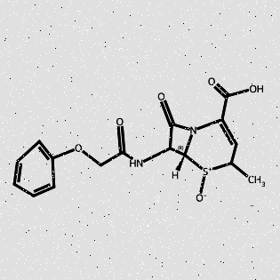 CC1C=C(C(=O)O)N2C(=O)C(NC(=O)COc3ccccc3)[C@H]2[S+]1[O-]